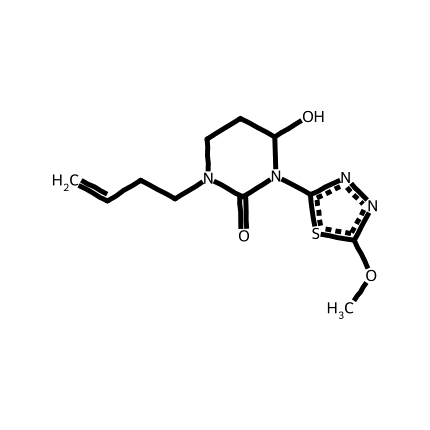 C=CCCN1CCC(O)N(c2nnc(OC)s2)C1=O